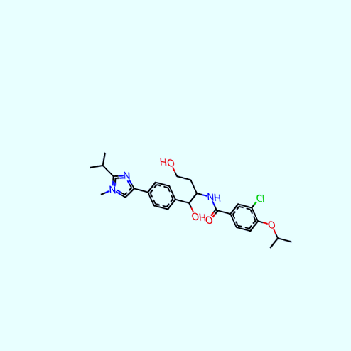 CC(C)Oc1ccc(C(=O)NC(CCO)C(O)c2ccc(-c3cn(C)c(C(C)C)n3)cc2)cc1Cl